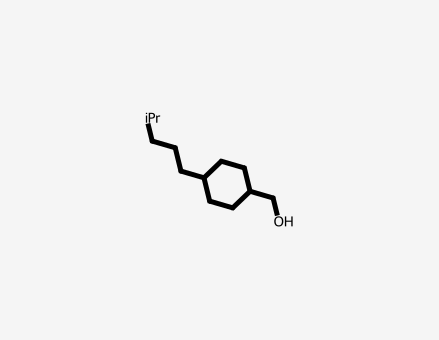 CC(C)CCCC1CCC(CO)CC1